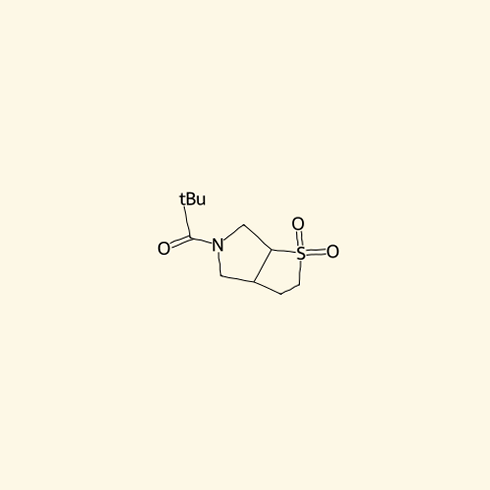 CC(C)(C)C(=O)N1CC2CCS(=O)(=O)C2C1